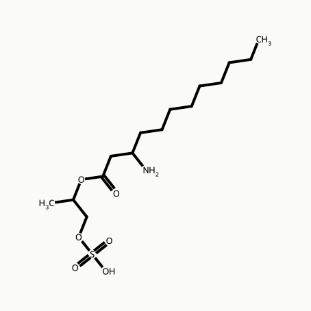 CCCCCCCCCC(N)CC(=O)OC(C)COS(=O)(=O)O